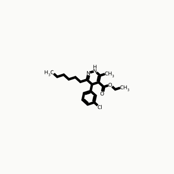 CCCCCCC1=NNC(C)=C(C(=O)OCC)C1c1cccc(Cl)c1